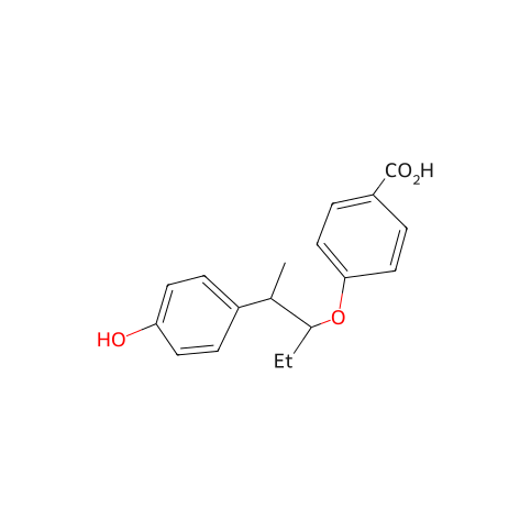 CCC(Oc1ccc(C(=O)O)cc1)C(C)c1ccc(O)cc1